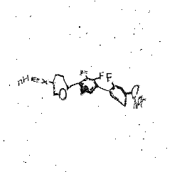 CCCCCCC1CCC(c2ccc(-c3ccc(OCCC)cc3F)c(F)c2F)OC1